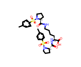 Cc1ccc(S(=O)(=O)N2CCC[C@H]2C(=O)NCCCC[C@H](NC(=O)[C@@H]2CCCN2S(=O)(=O)c2ccc(C)cc2)C(=O)O)cc1